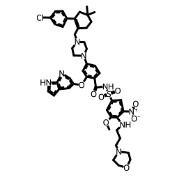 COc1cc(S(=O)(=O)NC(=O)c2ccc(N3CCN(CC4=C(c5ccc(Cl)cc5)CC(C)(C)CC4)CC3)cc2Oc2cnc3[nH]ccc3c2)cc([N+](=O)[O-])c1NCCCN1CCOCC1